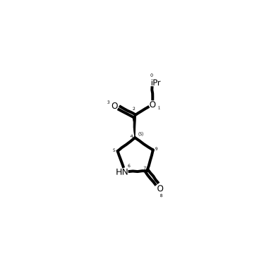 CC(C)OC(=O)[C@@H]1CNC(=O)C1